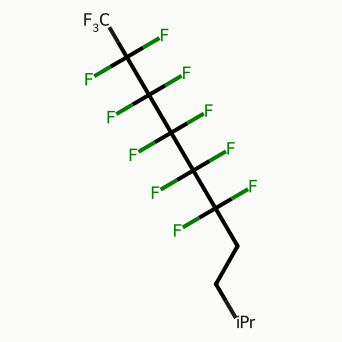 CC(C)CCC(F)(F)C(F)(F)C(F)(F)C(F)(F)C(F)(F)C(F)(F)F